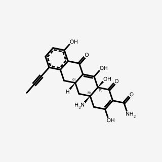 CC#Cc1ccc(O)c2c1C[C@H]1C[C@@]3(N)CC(O)=C(C(N)=O)C(=O)[C@@]3(O)C(O)=C1C2=O